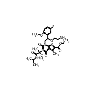 CCOC(=O)c1sc2c(c1C)c(=O)n(C(C)(C)C(=O)NC(C)C)c(=O)n2CC(OCCN)c1cc(F)ccc1OC